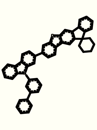 c1ccc(-c2cccc(-n3c4ccccc4c4ccc(-c5ccc6c(c5)oc5cc7c(cc56)C5(CCCCC5)c5ccccc5-7)cc43)c2)cc1